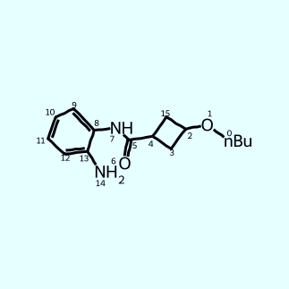 CCCCOC1CC(C(=O)Nc2ccccc2N)C1